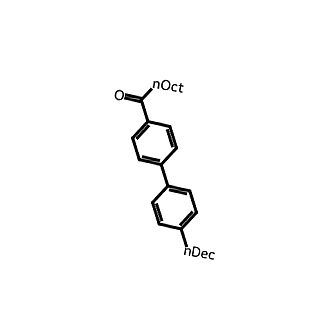 CCCCCCCCCCc1ccc(-c2ccc(C(=O)CCCCCCCC)cc2)cc1